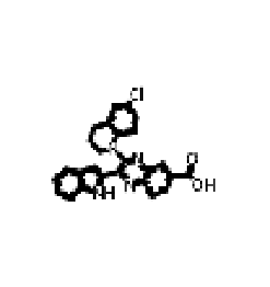 O=C(O)c1ccc2nc(-c3cc4ccccc4[nH]3)c(N3CCCc4cc(Cl)ccc43)nc2c1